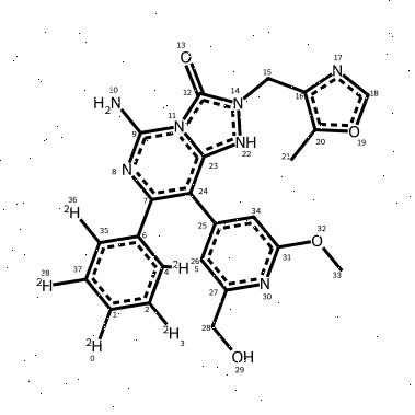 [2H]c1c([2H])c([2H])c(-c2nc(N)[n+]3c(=O)n(Cc4ncoc4C)[nH]c3c2-c2cc(CO)nc(OC)c2)c([2H])c1[2H]